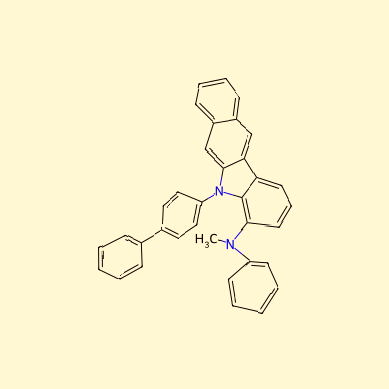 CN(c1ccccc1)c1cccc2c3cc4ccccc4cc3n(-c3ccc(-c4ccccc4)cc3)c12